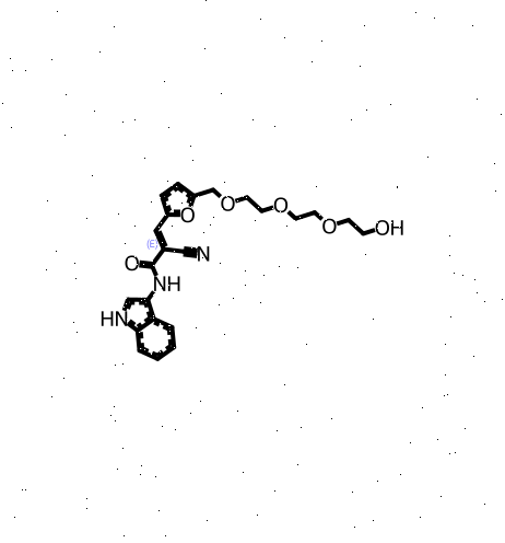 N#C/C(=C\c1ccc(COCCOCCOCCO)o1)C(=O)Nc1c[nH]c2ccccc12